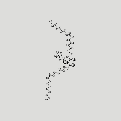 CCCCCCCC/C=C\CCCCCCCC(=O)P(OCC[N+](C)(C)C)C(=O)CCCCCCC/C=C\CCCCCCCC